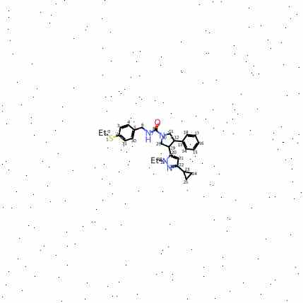 CCSc1ccc(CNC(=O)N2CC(c3ccccc3)C(c3cc(C4CC4)nn3CC)C2)cc1